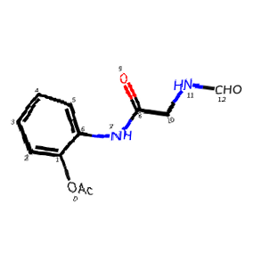 CC(=O)Oc1ccccc1NC(=O)CNC=O